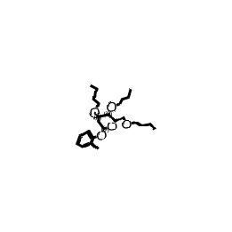 CCCCOCC1O[C@@H](Oc2ccccc2C)C[C@@H](OCCCC)[C@@H]1OCCCC